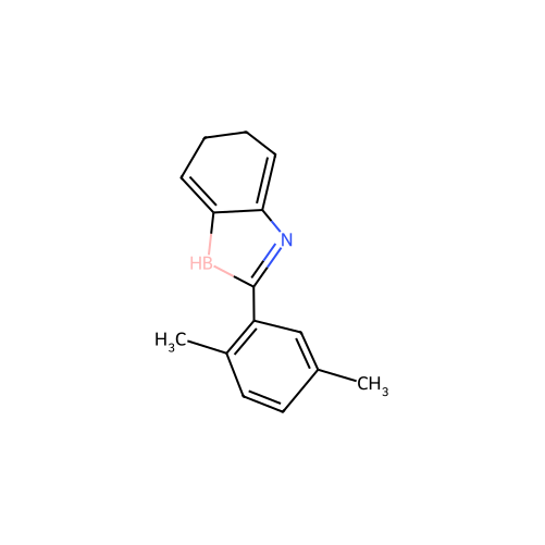 Cc1ccc(C)c(C2=NC3=CCCC=C3B2)c1